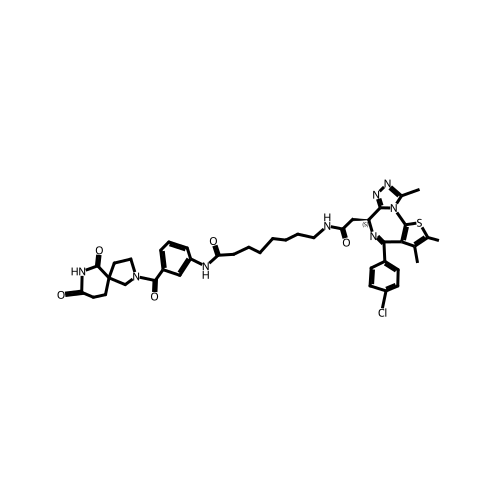 Cc1sc2c(c1C)C(c1ccc(Cl)cc1)=N[C@@H](CC(=O)NCCCCCCCC(=O)Nc1cccc(C(=O)N3CCC4(CCC(=O)NC4=O)C3)c1)c1nnc(C)n1-2